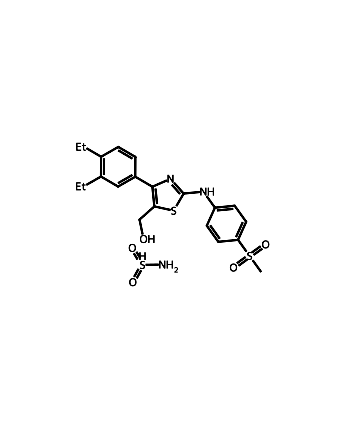 CCc1ccc(-c2nc(Nc3ccc(S(C)(=O)=O)cc3)sc2CO)cc1CC.N[SH](=O)=O